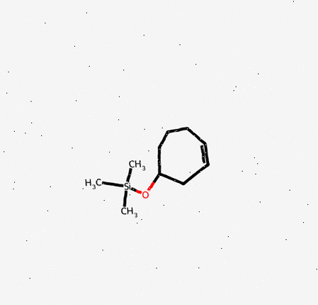 C[Si](C)(C)OC1CC=CCCC1